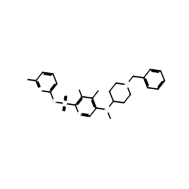 Cc1c(N(C)C2CCN(Cc3ccccc3)CC2)cnc(S(=O)(=O)Nc2cccc(F)n2)c1F